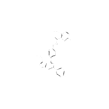 COc1ccc(F)cc1C(=O)NCc1ccc(-c2nc(-c3ccc(C(=O)O)cc3)cc3[nH]nc(N)c23)cc1